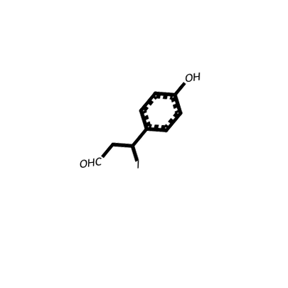 O=CCC(I)c1ccc(O)cc1